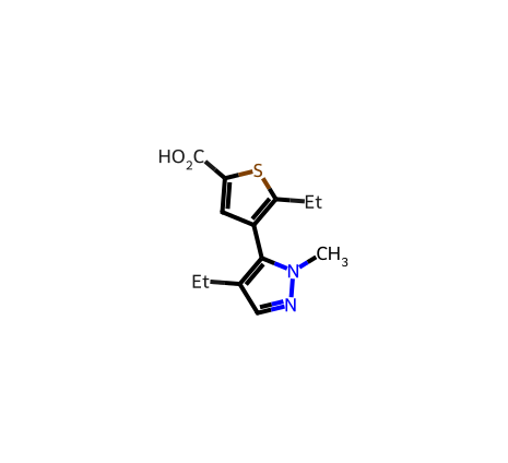 CCc1cnn(C)c1-c1cc(C(=O)O)sc1CC